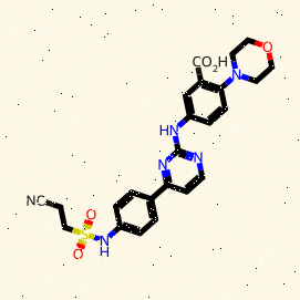 N#CCCS(=O)(=O)Nc1ccc(-c2ccnc(Nc3ccc(N4CCOCC4)c(C(=O)O)c3)n2)cc1